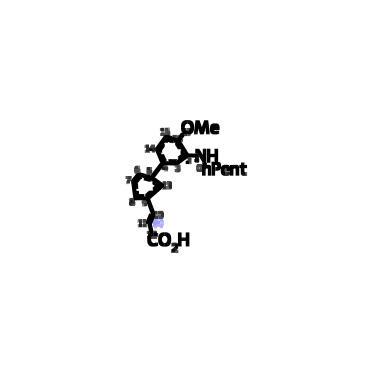 CCCCCNc1cc(-c2cccc(/C=C/C(=O)O)c2)ccc1OC